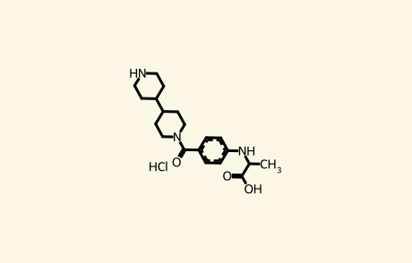 CC(Nc1ccc(C(=O)N2CCC(C3CCNCC3)CC2)cc1)C(=O)O.Cl